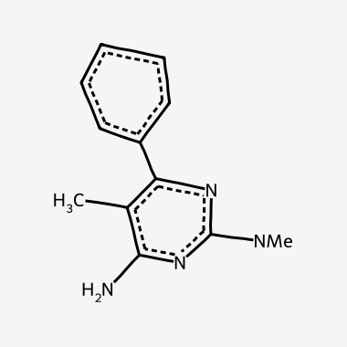 CNc1nc(N)c(C)c(-c2ccccc2)n1